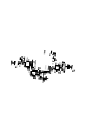 COCCOc1cc(S(N)(=O)=O)ccc1NCC#Cc1sc2c(NC3CCC(N(C)C)CC3)cccc2c1CC(F)(F)F